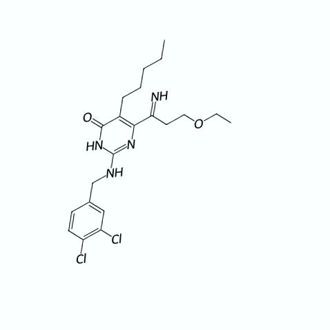 CCCCCc1c(C(=N)CCOCC)nc(NCc2ccc(Cl)c(Cl)c2)[nH]c1=O